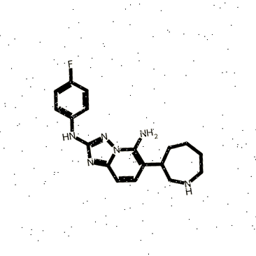 Nc1c(C2CCCCNC2)ccc2nc(Nc3ccc(F)cc3)nn12